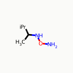 CC(C)C(C)NON